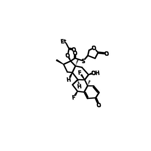 CCC(=O)O[C@]1(C(=O)SC2COC(=O)C2)[C@H](C)C[C@H]2[C@@H]3C[C@H](F)C4=CC(=O)C=C[C@]4(C)[C@@]3(F)[C@H](O)C[C@@]21C